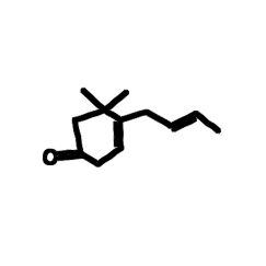 C/C=C/CC1=CCC(=O)CC1(C)C